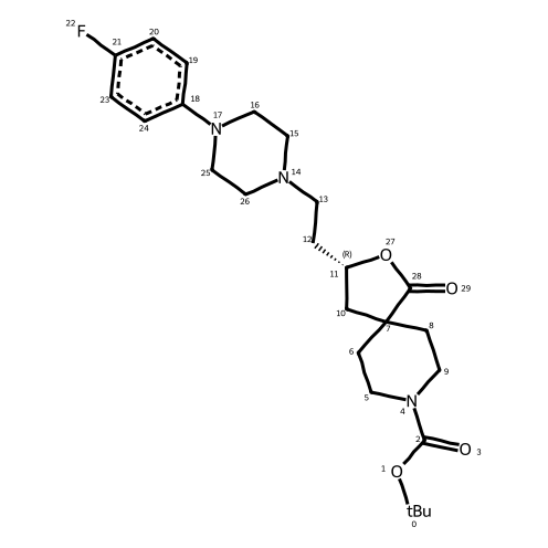 CC(C)(C)OC(=O)N1CCC2(CC1)C[C@H](CCN1CCN(c3ccc(F)cc3)CC1)OC2=O